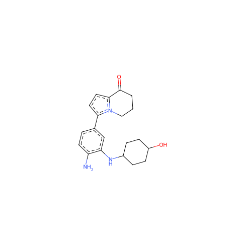 Nc1ccc(-c2ccc3n2CCCC3=O)cc1NC1CCC(O)CC1